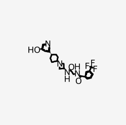 O=C(CNC(=O)c1cccc(C(F)(F)F)c1)NC1CN([C@H]2CC[C@@H](c3cncc(O)c3)CC2)C1